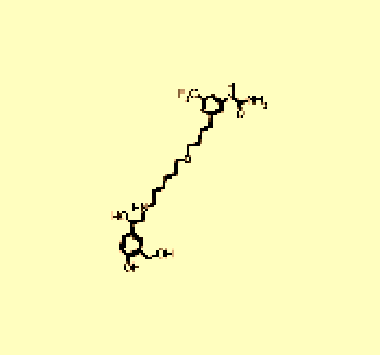 NC(=O)Nc1cc(CCCCOCCCCCCNC[C@H](O)c2ccc(O)c(CO)c2)cc(C(F)(F)F)c1